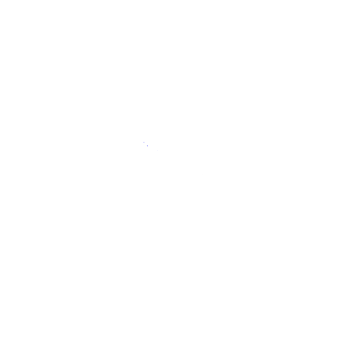 CCC(N)Cc1ccc2c(F)coc2c1